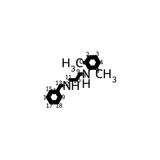 Cc1cccc(C)c1NCCCNCc1ccccc1